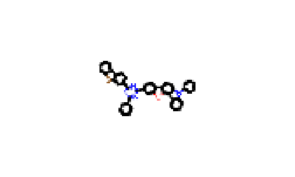 c1ccc(-c2nc(-c3ccc4c(c3)oc3c4ccc4c3c3ccccc3n4-c3ccccc3)nc(-c3ccc4c(c3)sc3ccccc34)n2)cc1